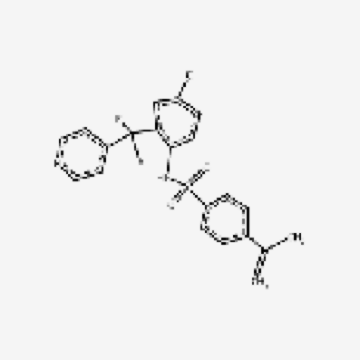 C=C(C)c1ccc(S(=O)(=O)Nc2ccc(Cl)cc2C(F)(F)c2ccncc2)cc1